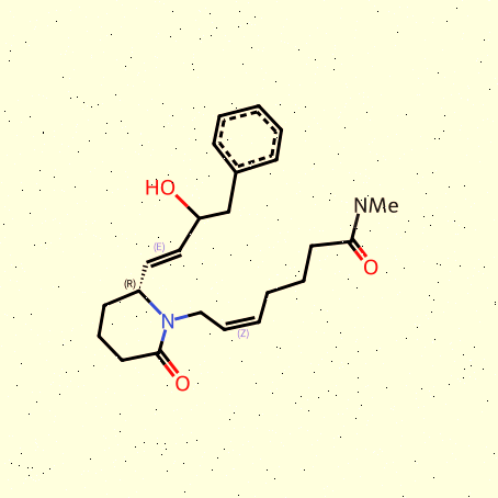 CNC(=O)CCC/C=C\CN1C(=O)CCC[C@@H]1/C=C/C(O)Cc1ccccc1